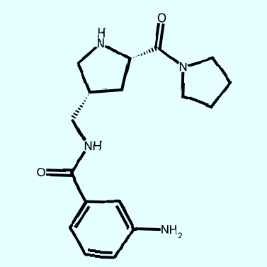 Nc1cccc(C(=O)NC[C@@H]2CN[C@H](C(=O)N3CCCC3)C2)c1